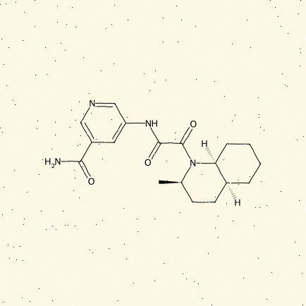 C[C@@H]1CC[C@@H]2CCCC[C@@H]2N1C(=O)C(=O)Nc1cncc(C(N)=O)c1